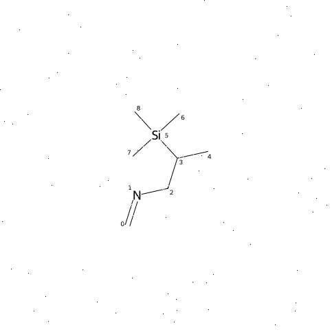 C=NCC(C)[Si](C)(C)C